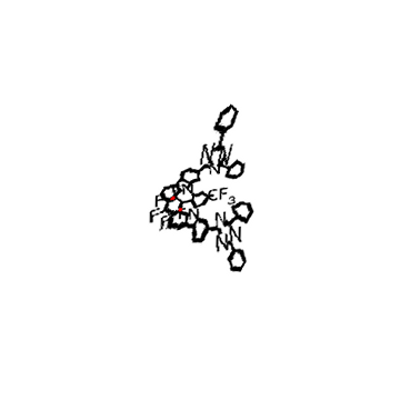 Fc1c(F)c(F)c(-c2c(-n3c4ccccc4c4ccc(-c5nc(-c6ccccc6)nc(-c6ccccc6)n5)cc43)cc(C(F)(F)F)cc2-n2c3ccccc3c3ccc(-c4nc(-c5ccccc5)nc(-c5ccccc5)n4)cc32)c(F)c1F